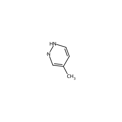 CC1=C[N]NC=C1